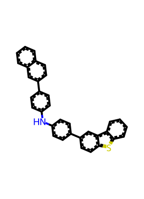 c1ccc2cc(-c3ccc(Nc4ccc(-c5ccc6sc7ccccc7c6c5)cc4)cc3)ccc2c1